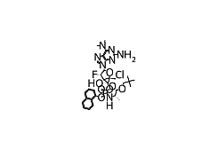 C[C@H](N[P@@](=O)(Oc1cccc2ccccc12)OC1[C@@]2(CCl)O[C@@H](n3cnc4c(N(C)C)nc(N)nc43)[C@@H](F)[C@@]12O)C(=O)OCC(C)(C)C